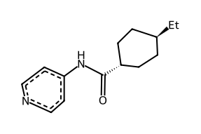 CC[C@H]1CC[C@H](C(=O)Nc2ccncc2)CC1